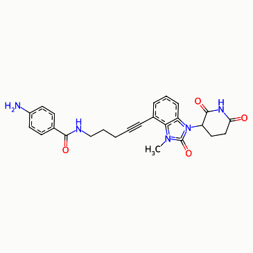 Cn1c(=O)n(C2CCC(=O)NC2=O)c2cccc(C#CCCCNC(=O)c3ccc(N)cc3)c21